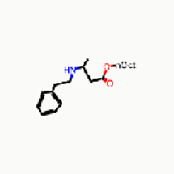 CCCCCCCCOC(=O)CC(C)NCCc1ccccc1